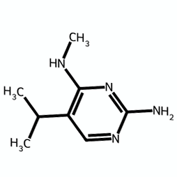 CNc1nc(N)ncc1C(C)C